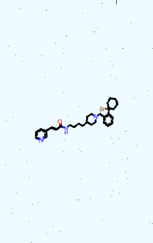 O=C(C=Cc1cccnc1)NCCCCC1CCN(Cc2ccccc2C2(Br)CCCCC2)CC1